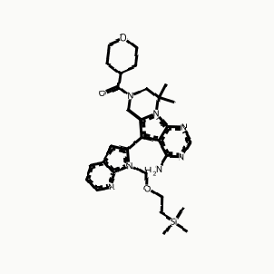 CC1(C)CN(C(=O)C2CCOCC2)Cc2c(-c3cc4cccnc4n3COCC[Si](C)(C)C)c3c(N)ncnc3n21